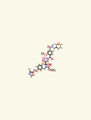 CCOc1cc(C(=O)N(C)CC2CCCOC2)ccc1C(=O)NC[C@@H](O)[C@@]1(O)Cc2ccc(OCc3ocnc3C)cc2CN1C(=O)OC(C)(C)C